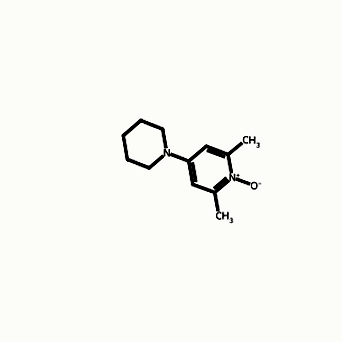 Cc1cc(N2CCCCC2)cc(C)[n+]1[O-]